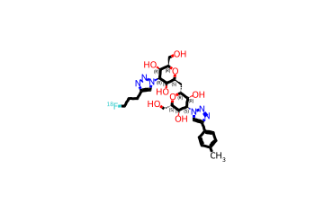 Cc1ccc(-c2cn([C@H]3[C@@H](O)[C@@H](C[C@@H]4O[C@H](CO)[C@H](O)[C@H](n5cc(CCC[18F])nn5)[C@@H]4O)O[C@@H](CO)[C@H]3O)nn2)cc1